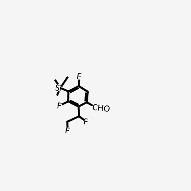 C[Si](C)(C)c1c(F)cc(C=O)c(C(F)CF)c1F